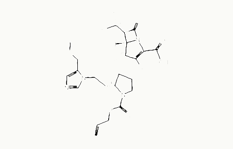 C=CCOC(=O)N1C[C@@H](SC2=C(C(=O)O)N3C(=O)[C@H]([C@@H](C)O)[C@H]3[C@H]2C)C[C@H]1CCn1cncc1COC